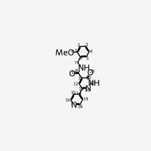 COc1ccccc1CNC(=O)c1cc(-c2ccncc2)n[nH]c1=O